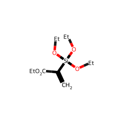 C=C(C(=O)OCC)[Si](OCC)(OCC)OCC